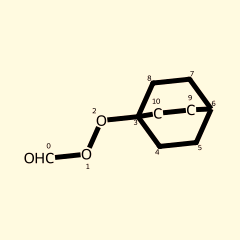 O=COOC12CCC(CC1)CC2